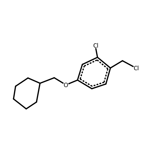 ClCc1ccc(OCC2CCCCC2)cc1Cl